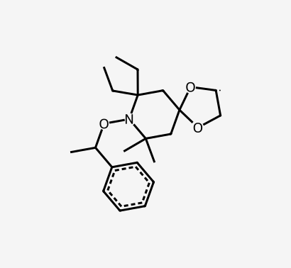 CCC1(CC)CC2(CC(C)(C)N1OC(C)c1ccccc1)O[CH]CO2